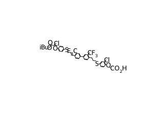 CCC(C)OC(=O)C(Cl)Oc1ccc(SCCCc2ccc(-c3ccc(CCCSc4ccc(OCC(=O)O)c(Cl)c4)c(C(F)(F)F)c3)cc2C(F)(F)F)cc1